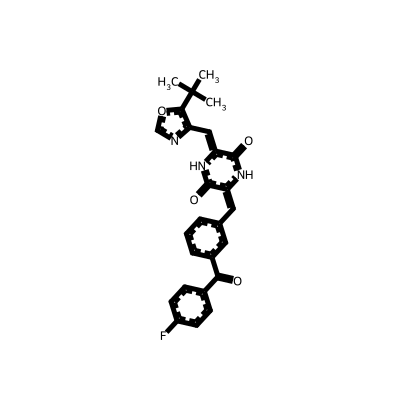 CC(C)(C)c1ocnc1C=c1[nH]c(=O)c(=Cc2cccc(C(=O)c3ccc(F)cc3)c2)[nH]c1=O